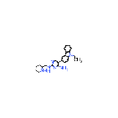 CCn1c2ccccc2c2cc(-c3cnc(NCC4CCCCN4)nc3N)ccc21